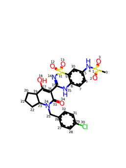 CS(=O)(=O)Nc1ccc2c(c1)S(=O)(=O)N=C(C1=C(O)C3CCCC3N(Cc3ccc(Cl)cc3)C1=O)N2